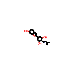 C=C(C)/C=C/c1c(O)cc(-c2cc3ccc(O)cc3o2)cc1O